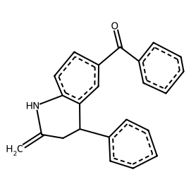 C=C1CC(c2ccccc2)c2cc(C(=O)c3ccccc3)ccc2N1